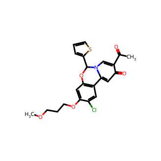 COCCCOc1cc2c(cc1Cl)-c1cc(=O)c(C(C)=O)cn1C(c1cccs1)O2